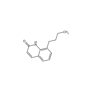 CCCCc1cccc2ccc(=O)[nH]c12